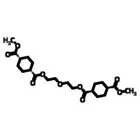 COC(=O)[C@H]1CC[C@@H](C(=O)OCCOCCOC(=O)[C@H]2CC[C@@H](C(=O)OC)CC2)CC1